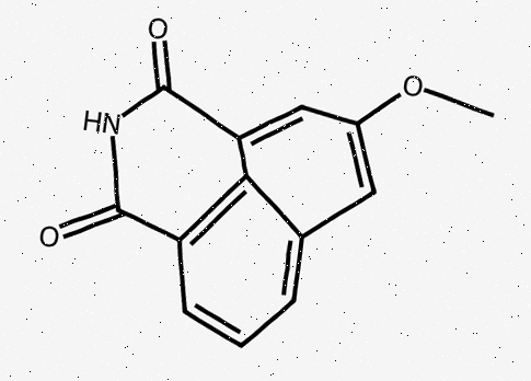 COc1cc2c3c(cccc3c1)C(=O)NC2=O